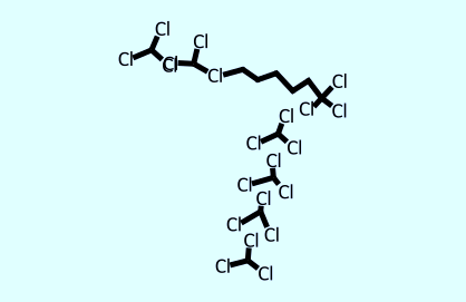 CCCCCCC(Cl)(Cl)Cl.ClC(Cl)Cl.ClC(Cl)Cl.ClC(Cl)Cl.ClC(Cl)Cl.ClC(Cl)Cl.ClC(Cl)Cl